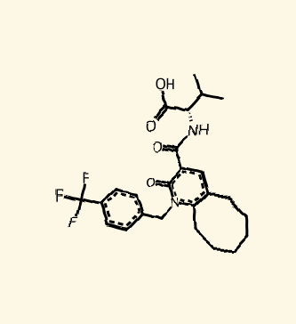 CC(C)[C@H](NC(=O)c1cc2c(n(Cc3ccc(C(F)(F)F)cc3)c1=O)CCCCCC2)C(=O)O